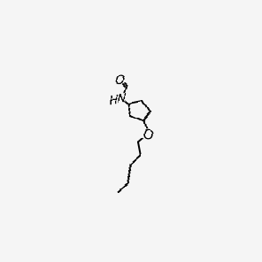 CCCCCOC1CCC(NC=O)C1